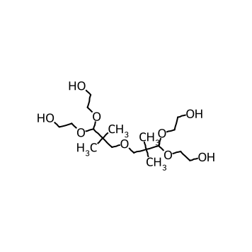 CC(C)(COCC(C)(C)C(OCCO)OCCO)C(OCCO)OCCO